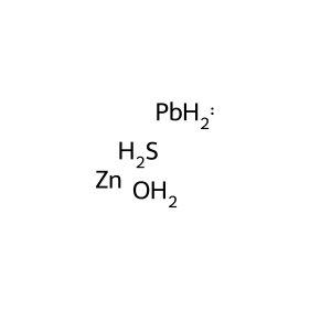 O.S.[PbH2].[Zn]